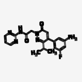 CC(C)c1nn(CC(=O)Nc2ncccn2)c(=O)cc1-c1cc(F)cc(P)c1